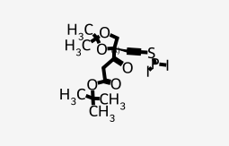 CC(C)(C)OC(=O)CC(=O)[C@@]1(C#CSP(I)I)COC(C)(C)O1